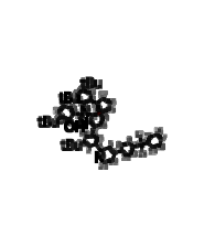 CC(C)(C)c1cc(-c2cc(-c3ccc(C(C)(C)c4ccccc4)cc3)ccn2)cc(-c2cccc3c2nc(-c2cc(C(C)(C)C)cc(C(C)(C)C)c2O)n3-c2ccc(C(C)(C)C)cc2-c2ccccc2)c1